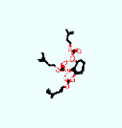 CC(C)CCOC(=O)OC1CCCC(OC(=O)OCCC(C)C)C1OC(=O)OCCC(C)C